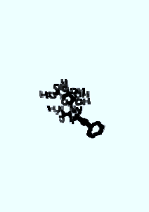 NC(=O)c1nc(C#CC2=CCCCC2)nn1[C@@H]1O[C@H](C(O)O)C(O)(O)C1(O)O